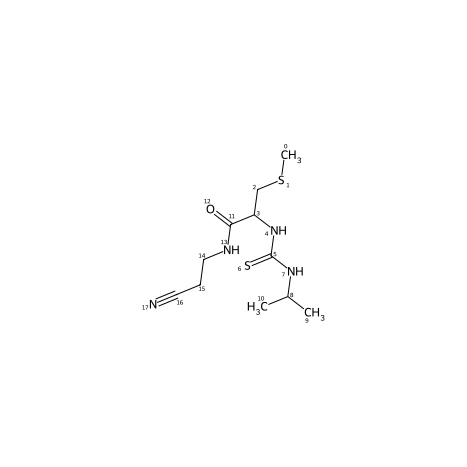 CSCC(NC(=S)NC(C)C)C(=O)NCCC#N